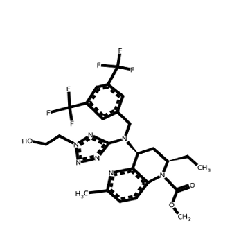 CC[C@@H]1C[C@H](N(Cc2cc(C(F)(F)F)cc(C(F)(F)F)c2)c2nnn(CCO)n2)c2nc(C)ccc2N1C(=O)OC